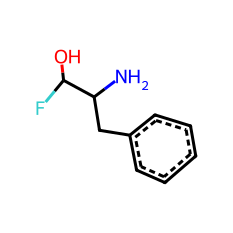 NC(Cc1ccccc1)C(O)F